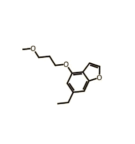 CCc1cc(OCCCOC)c2ccoc2c1